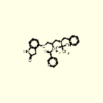 CC(C)(C)N(Cc1ccccc1)CC(COc1cccc2c1CC(=O)N2)OC(=O)c1cccnc1